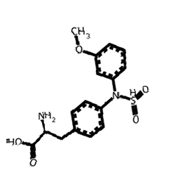 COc1cccc(N(c2ccc(C[C@H](N)C(=O)O)cc2)[SH](=O)=O)c1